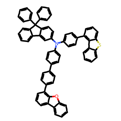 c1ccc(C2(c3ccccc3)c3ccccc3-c3cc(N(c4ccc(-c5ccc(-c6cccc7c6oc6ccccc67)cc5)cc4)c4ccc(-c5cccc6sc7ccccc7c56)cc4)ccc32)cc1